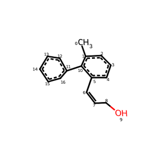 Cc1cccc(/C=C\CO)c1-c1ccccc1